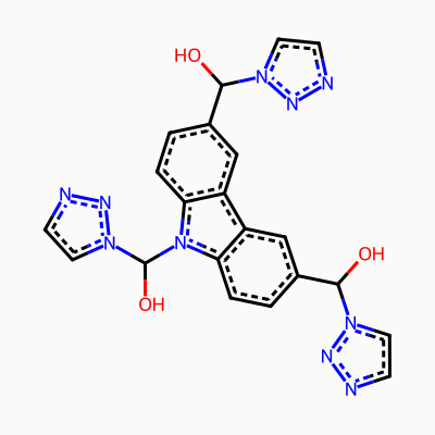 OC(c1ccc2c(c1)c1cc(C(O)n3ccnn3)ccc1n2C(O)n1ccnn1)n1ccnn1